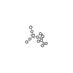 c1ccc(-c2ccc(-c3nc(-c4ccc(-c5ccccc5)cc4)nc(-c4cc(-c5ccccc5)c(-n5c6ccccc6c6cc(-n7c8ccccc8c8ccccc87)ccc65)c(-c5ccccc5)c4)n3)cc2)cc1